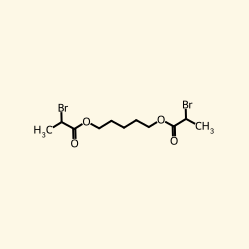 CC(Br)C(=O)OCCCCCOC(=O)C(C)Br